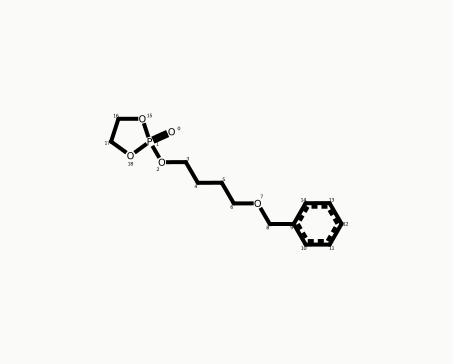 O=P1(OCCCCOCc2ccccc2)OCCO1